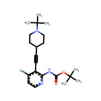 CC(C)(C)OC(=O)Nc1nccc(Cl)c1C#CC1CCN(C(C)(C)C)CC1